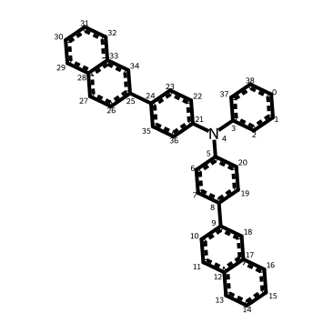 c1ccc(N(c2ccc(-c3ccc4ccccc4c3)cc2)c2ccc(-c3ccc4ccccc4c3)cc2)cc1